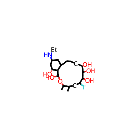 CCNC1CC2CCCC(O)C(O)C(O)C(F)CC(C)C(C)OC(O)C2[C@H](O)C1